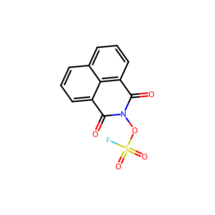 O=C1c2cccc3cccc(c23)C(=O)N1OS(=O)(=O)F